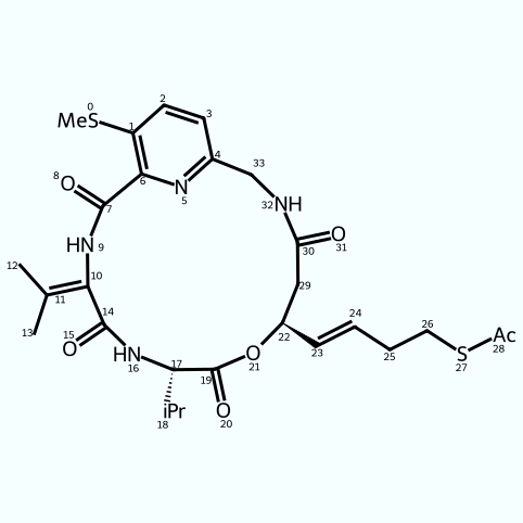 CSc1ccc2nc1C(=O)NC(=C(C)C)C(=O)N[C@@H](C(C)C)C(=O)O[C@H](/C=C/CCSC(C)=O)CC(=O)NC2